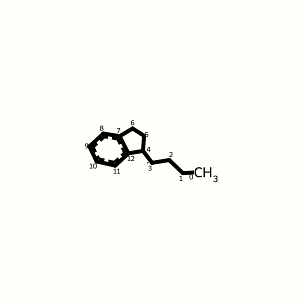 CCC[CH]C1CCc2ccccc21